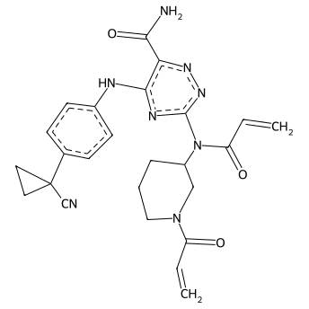 C=CC(=O)N1CCCC(N(C(=O)C=C)c2nnc(C(N)=O)c(Nc3ccc(C4(C#N)CC4)cc3)n2)C1